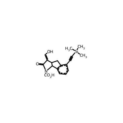 C[Si](C)(C)C#Cc1cccc2c1CC1C(=CO)C(=O)N(C(=O)O)C21